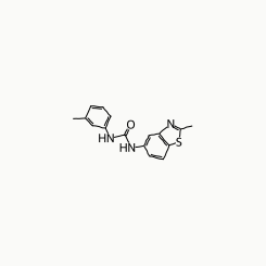 Cc1cccc(NC(=O)Nc2ccc3sc(C)nc3c2)c1